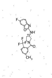 Cc1ccc(C(F)(F)F)c(C(=O)N2CC[C@@H](Nc3nc4ccc(F)cc4o3)C2)c1